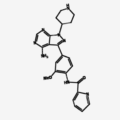 COc1cc(-c2nn(C3CCNCC3)c3ncnc(N)c23)ccc1NC(=O)c1ccccn1